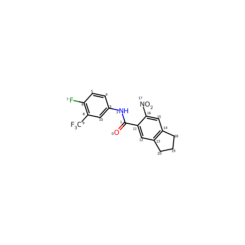 O=C(Nc1ccc(F)c(C(F)(F)F)c1)c1cc2c(cc1[N+](=O)[O-])CCC2